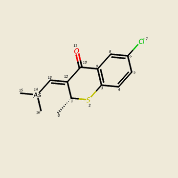 C[C@H]1Sc2ccc(Cl)cc2C(=O)/C1=C/[As](C)C